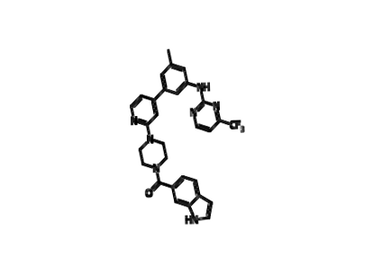 Cc1cc(Nc2nccc(C(F)(F)F)n2)cc(-c2ccnc(N3CCN(C(=O)c4ccc5cc[nH]c5c4)CC3)c2)c1